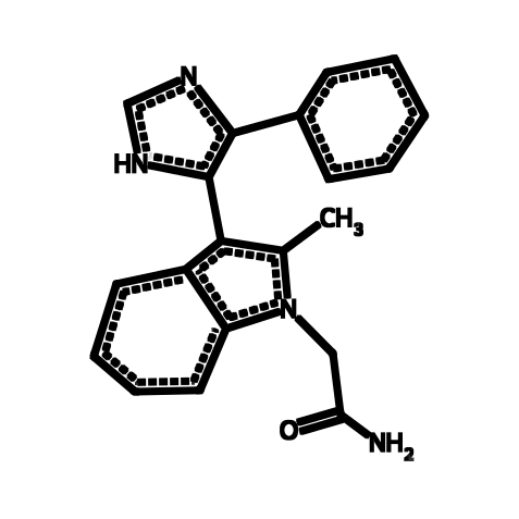 Cc1c(-c2[nH]cnc2-c2ccccc2)c2ccccc2n1CC(N)=O